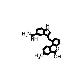 Cc1ccc(-c2ccccc2CC2CNc3ccc(C(=N)N)cc32)c(C(=O)O)c1